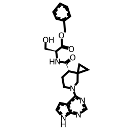 O=C(OCc1ccccc1)[C@H](CO)NC(=O)[C@H]1CCN(c2ncnc3[nH]ccc23)CC12CC2